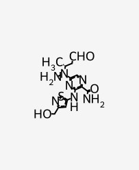 C[C@H](CC=O)N(N)c1cnc(C(N)=O)c(Nc2cc(CO)ns2)n1